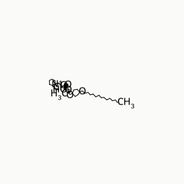 CCCCCCCCCCCCCCOC1CCC(OC(C)OP(=O)(O)OCC[N+]2(C)CCCCC2)CC1